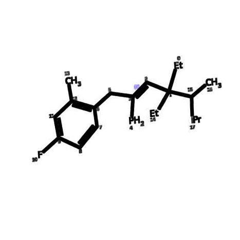 CCC(/C=C(\P)Cc1ccc(F)cc1C)(CC)C(C)C(C)C